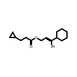 CC(C)/C(=C\COC(=O)CCC1CC1)C1CCCCC1